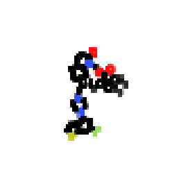 CC(C)(C)C(=O)OCn1c(=O)ccc2ccc(CCN3CCN(c4cc(F)cc5sccc45)CC3)cc21